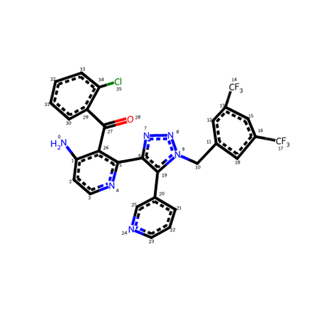 Nc1ccnc(-c2nnn(Cc3cc(C(F)(F)F)cc(C(F)(F)F)c3)c2-c2cccnc2)c1C(=O)c1ccccc1Cl